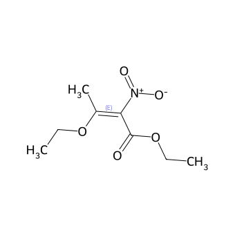 CCOC(=O)/C(=C(/C)OCC)[N+](=O)[O-]